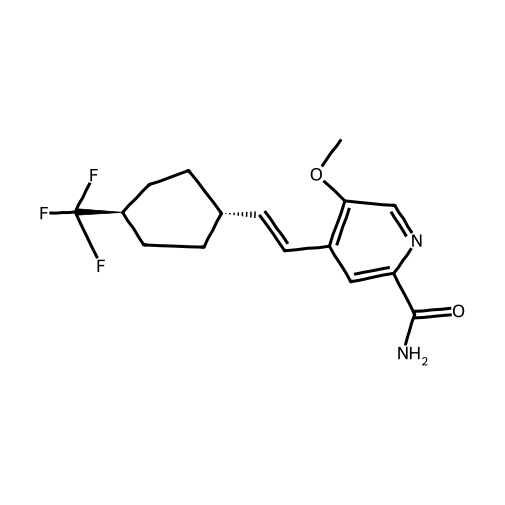 COc1cnc(C(N)=O)cc1/C=C/[C@H]1CC[C@H](C(F)(F)F)CC1